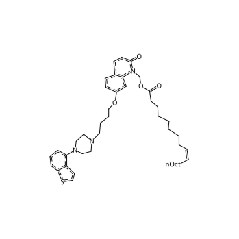 CCCCCCCC/C=C\CCCCCCCC(=O)OCn1c(=O)ccc2ccc(OCCCCN3CCN(c4cccc5sccc45)CC3)cc21